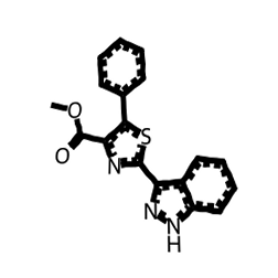 COC(=O)c1nc(-c2n[nH]c3ccccc23)sc1-c1ccccc1